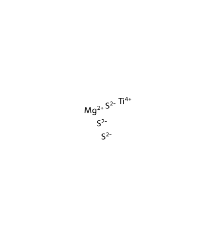 [Mg+2].[S-2].[S-2].[S-2].[Ti+4]